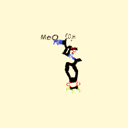 CON=C(C(=O)O)c1cc2cc(C)c1ON2C(C)c1ccc2c(c1)OC(F)C(F)(F)O2